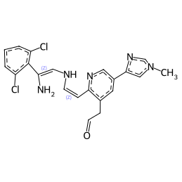 Cn1cnc(-c2cnc(/C=C\N/C=C(\N)c3c(Cl)cccc3Cl)c(CC=O)c2)c1